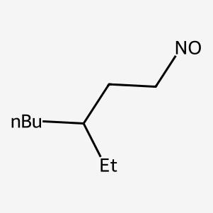 CCCCC(CC)CCN=O